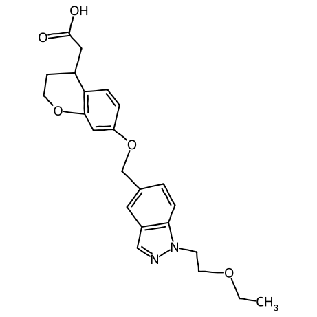 CCOCCn1ncc2cc(COc3ccc4c(c3)OCCC4CC(=O)O)ccc21